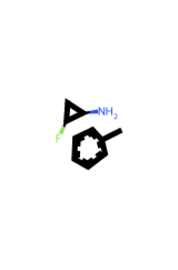 Cc1ccccc1.N[C@@H]1C[C@@H]1F